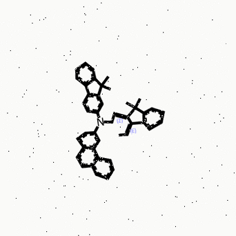 C/C=C1\C(=C/CN(c2ccc3c(c2)C(C)(C)c2ccccc2-3)c2ccc3ccc4ccccc4c3c2)C(C)(C)c2ccccc21